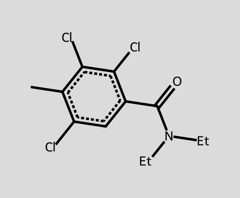 CCN(CC)C(=O)c1cc(Cl)c(C)c(Cl)c1Cl